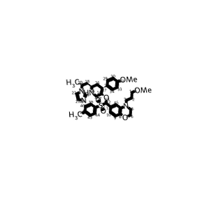 COCCCN1CCOc2ccc(C(O[C@H]3CN[C@@H](C[C@@H](C)n4ccnc4)C[C@@H]3c3ccc(OC)cc3)S(=O)(=O)c3ccc(C)cc3)cc21